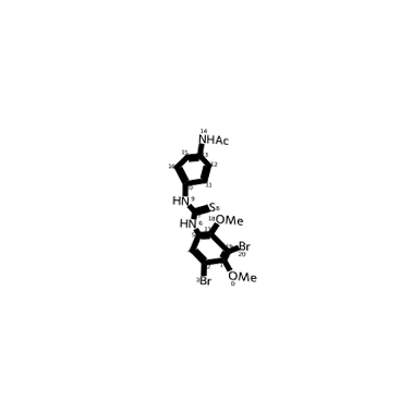 COc1c(Br)cc(NC(=S)Nc2ccc(NC(C)=O)cc2)c(OC)c1Br